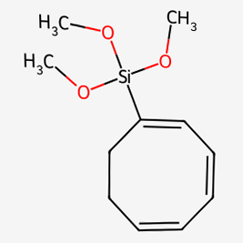 CO[Si](OC)(OC)C1=CC=CC=CCC1